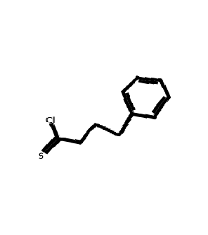 S=C(Cl)CCCc1ccccc1